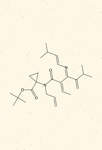 C=CCN(C(=O)C(=C/C)/C(=N\C=C\C(C)C)C(=C)C(C)C)C1(C(=O)OC(C)(C)C)CC1